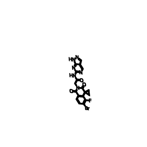 O=C(CN1C(=O)c2ccc(Br)c(F)c2C2(CC2)C1=O)Nc1ncc2cn[nH]c2n1